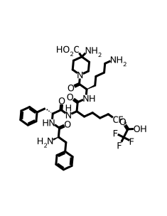 NCCCC[C@@H](NC(=O)C(CCCCC(F)(F)F)NC(=O)[C@@H](Cc1ccccc1)NC(=O)[C@H](N)Cc1ccccc1)C(=O)N1CCC(N)(C(=O)O)CC1.O=C(O)C(F)(F)F